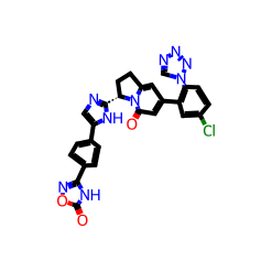 O=c1[nH]c(-c2ccc(-c3cnc([C@@H]4CCc5cc(-c6cc(Cl)ccc6-n6cnnn6)cc(=O)n54)[nH]3)cc2)no1